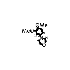 COc1ccc(N2CCOCC2)cc1OC